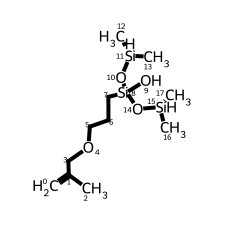 C=C(C)COCCC[Si](O)(O[SiH](C)C)O[SiH](C)C